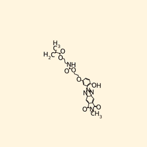 C=C(C)C(=O)OCCNC(=O)OCCOc1ccc(O)c(-n2nc3cc4c(cc3n2)C(=O)N(C)C4=O)c1